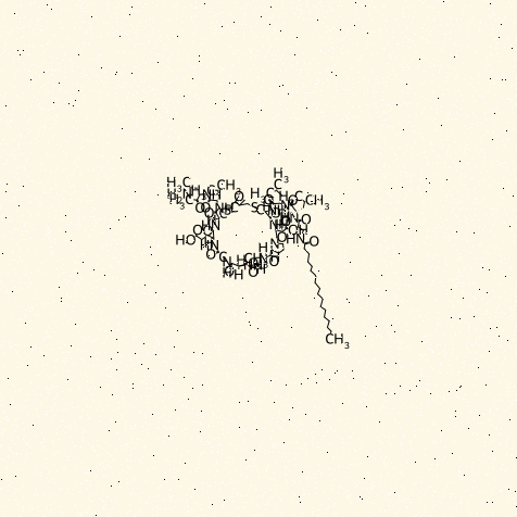 CCCCCCCCCCCCCCCCCC(=O)NCCC(=O)N[C@@H](CC(C)C)C(=O)N[C@@H](CC(C)C)C(=O)N[C@H]1CSCC2(COC2)CSC[C@@H](C(=O)N[C@@H](CC(C)C)C(=O)N[C@@H](CC(C)N)C(C)=O)NC(=O)[C@H](CCC(=O)O)NC(=O)CNC(=O)[C@H]2NC(=O)[C@@H](NC(=O)[C@@H]3CCCN3C(=O)[C@H](CC(=O)O)NC1=O)O[C@@H]2C